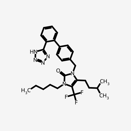 CCCCCn1c(C(F)(F)F)c(CCC(C)C)n(Cc2ccc(-c3ccccc3-c3nnn[nH]3)cc2)c1=O